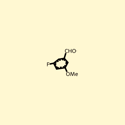 COc1cc(F)cc([C]=O)c1